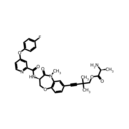 C[C@H](N)C(=O)OCC(C)(C)C#Cc1ccc2c(c1)N(C)C(=O)[C@H](NC(=O)c1cc(Oc3ccc(F)cc3)ccn1)CO2